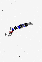 C=CC(=O)OCCN(CC)c1ccc(N=Nc2ccc(N=Nc3ccc(CCCC)cc3)cc2)cc1